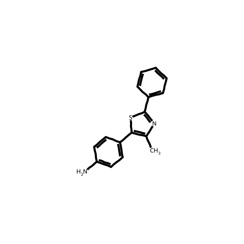 Cc1nc(-c2ccccc2)sc1-c1ccc(N)cc1